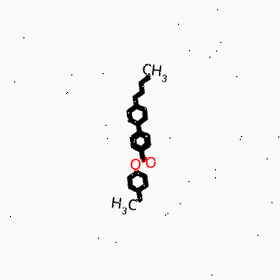 CCCCCC1CCC(c2ccc(C(=O)OC3CCC(CC)CC3)cc2)CC1